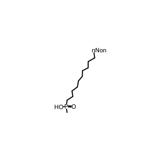 CCCCCCCCCCCCCCCCCCCP(C)(=O)O